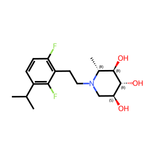 CC(C)c1ccc(F)c(CCN2C[C@H](O)[C@@H](O)[C@H](O)[C@H]2C)c1F